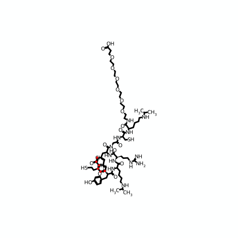 CC(=O)NC(CCS)C(=O)NC(Cc1ccc(O)cc1)C(=O)NC(CCCCNC(C)C)C(=O)N[C@H](CCCNC(=N)N)C(=O)NC(Cc1ccc2ccccc2c1)C(=O)NCC(=O)NC(CS)C(=O)NC(CCCCNC(C)C)C(=O)NCCOCCOCCOCCOCCOCCOCCC(=O)O